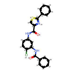 O=C(Nc1cc(NC(=O)c2csc(-c3ccccc3)n2)ccc1Cl)c1ccccc1